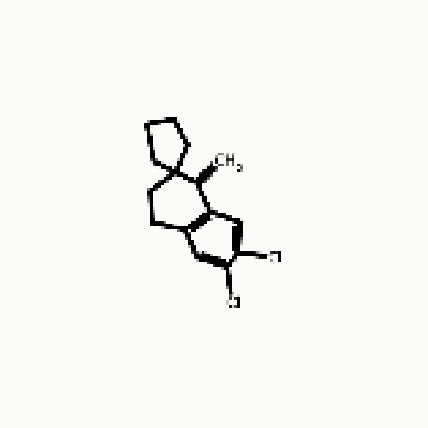 C=C1c2cc(Cl)c(Cl)cc2CCC12CCCC2